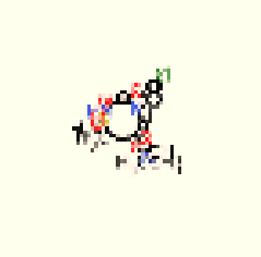 C[C@@H]1[C@@H](C)CCC[C@H](C2OCC(C)(N(C)C)CO2)[C@@H]2CC[C@H]2CN2C[C@@]3(CCCc4cc(Cl)ccc43)COc3ccc(cc32)C(=O)NS1(=O)=O